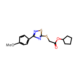 COc1ccc(-c2nsc(SCC(=O)OC3CCCC3)n2)cc1